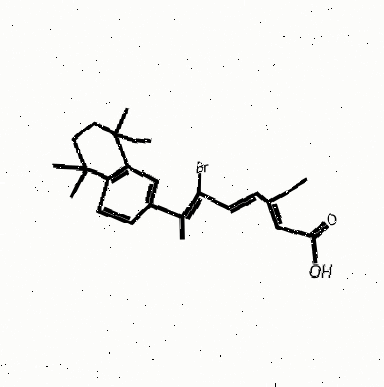 CC(C=CC(Br)=C(C)c1ccc2c(c1)C(C)(C)CCC2(C)C)=CC(=O)O